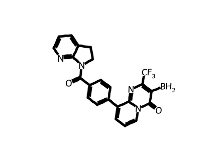 Bc1c(C(F)(F)F)nc2c(-c3ccc(C(=O)N4CCc5cccnc54)cc3)cccn2c1=O